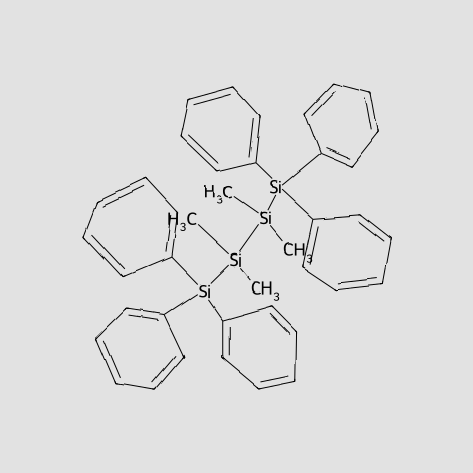 C[Si](C)([Si](c1ccccc1)(c1ccccc1)c1ccccc1)[Si](C)(C)[Si](c1ccccc1)(c1ccccc1)c1ccccc1